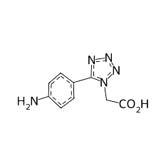 Nc1ccc(-c2nnnn2CC(=O)O)cc1